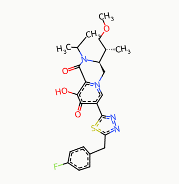 COC[C@H](C)[C@H]1Cn2cc(-c3nnc(Cc4ccc(F)cc4)s3)c(=O)c(O)c2C(=O)N1C(C)C